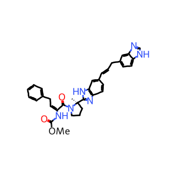 COC(=O)N/C(=C/Cc1ccccc1)C(=O)N1CCC[C@]1(C)c1nc2ccc(/C=C/Cc3ccc4[nH]cnc4c3)cc2[nH]1